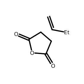 C=CCC.O=C1CCC(=O)O1